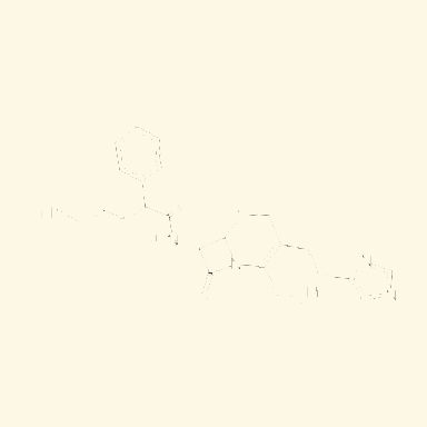 CCCOCSC(C(=O)N[C@H]1C(=O)N2C(C(=O)O)=C(CSc3ncns3)CSC12)c1ccccc1